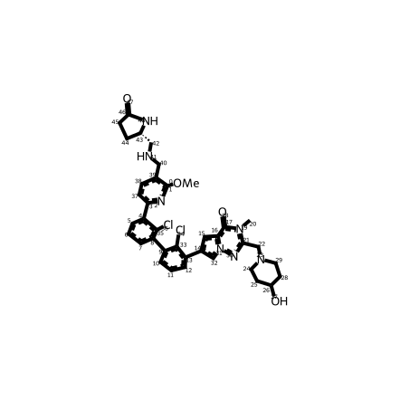 COc1nc(-c2cccc(-c3cccc(-c4cc5c(=O)n(C)c(CN6CCC(O)CC6)nn5c4)c3Cl)c2Cl)ccc1CNC[C@@H]1CCC(=O)N1